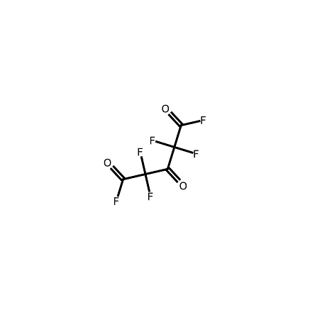 O=C(F)C(F)(F)C(=O)C(F)(F)C(=O)F